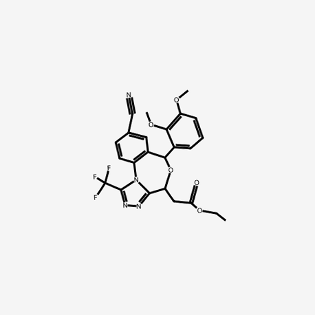 CCOC(=O)CC1OC(c2cccc(OC)c2OC)c2cc(C#N)ccc2-n2c1nnc2C(F)(F)F